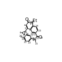 CCn1c(=O)cc(C2CC2)c2cc(C(=O)N(C)c3ccc(C)cc3)ccc21